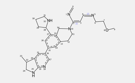 C=N/C(=C\C=N/CCOC)N1CCc2cc(-c3cnc4c(c3)C(C)CN4)cc(C3CCCN3)c2C1